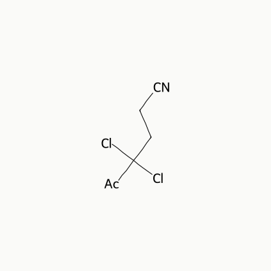 CC(=O)C(Cl)(Cl)CCC#N